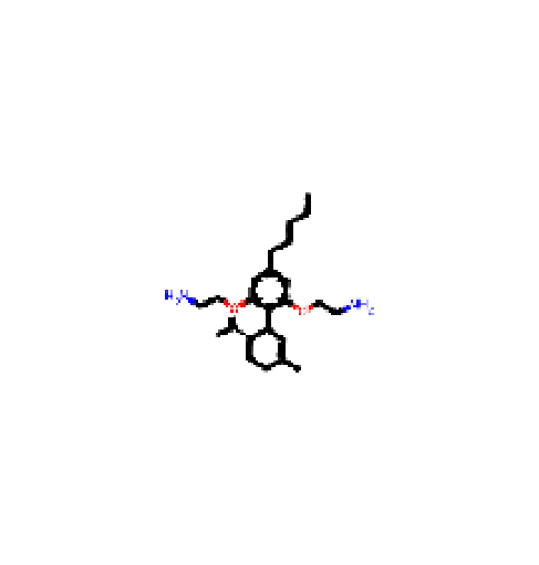 C=C(C)[C@@H]1CCC(C)=CC1c1c(OCCN)cc(CCCCC)cc1OCCN